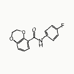 O=C(Nc1ccc(F)cc1)c1cccc2c1OCCO2